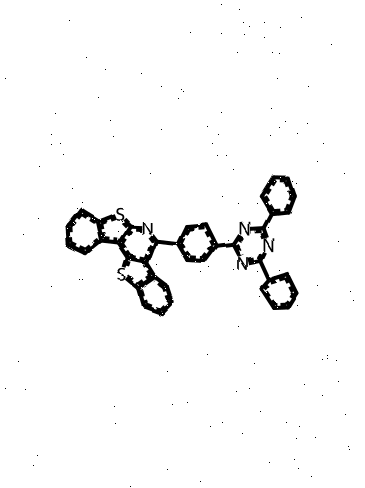 c1ccc(-c2nc(-c3ccccc3)nc(-c3ccc(-c4nc5sc6ccccc6c5c5sc6ccccc6c45)cc3)n2)cc1